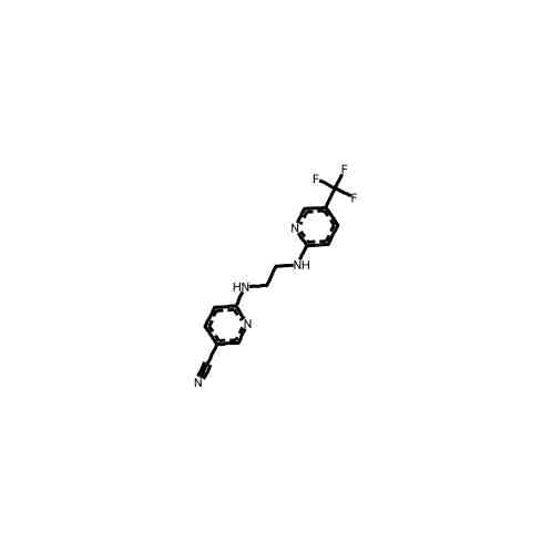 N#Cc1ccc(NCCNc2ccc(C(F)(F)F)cn2)nc1